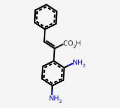 Nc1ccc(C(=Cc2ccccc2)C(=O)O)c(N)c1